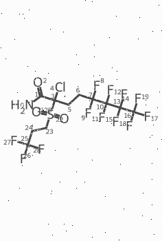 NC(=O)C(Cl)(CCC(F)(F)C(F)(F)C(F)(F)C(F)(F)F)S(=O)(=O)CCC(F)(F)F